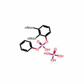 CCCCCCCCCc1cccc(OP(=O)(O)Oc2ccccc2)c1CCCCCCCCC.O=P(O)(O)O